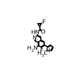 Cn1cccc1-c1cc2cc(NC(=O)C3C[C@@H]3F)ncc2c(N)c1F